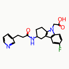 O=C(O)Cn1c2c(c3cc(F)ccc31)CC(NC(=O)CCc1cccnc1)CC2